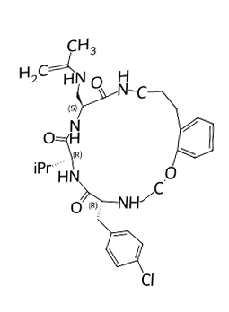 C=C(C)NC[C@@H]1NC(=O)[C@@H](C(C)C)NC(=O)[C@@H](Cc2ccc(Cl)cc2)NCCOc2ccccc2CCCNC1=O